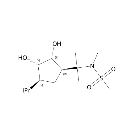 CC(C)[C@@H]1C[C@H](C(C)(C)N(C)S(C)(=O)=O)[C@@H](O)[C@H]1O